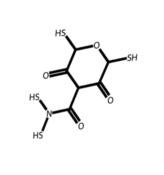 O=C1C(S)OC(S)C(=O)C1C(=O)N(S)S